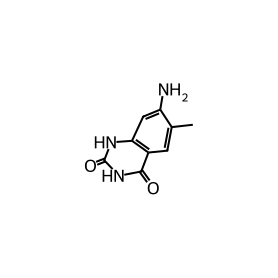 Cc1cc2c(=O)[nH]c(=O)[nH]c2cc1N